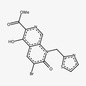 COC(=O)c1ncc2c(cc(Br)c(=O)n2Cc2nccs2)c1O